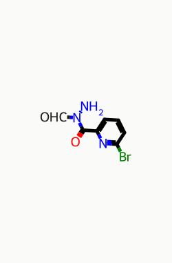 NN(C=O)C(=O)c1cccc(Br)n1